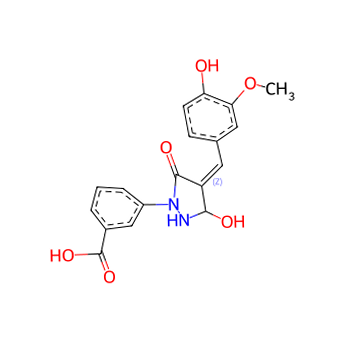 COc1cc(/C=C2\C(=O)N(c3cccc(C(=O)O)c3)NC2O)ccc1O